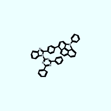 c1ccc(-c2nc(-c3ccccc3)nc(-n3c(-c4ccc(-c5ccc6c7c5ccc5cccc(c57)n6-c5ccccc5)cc4)nc4ccccc43)n2)cc1